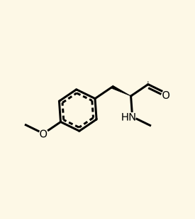 CN[C@H]([C]=O)Cc1ccc(OC)cc1